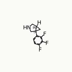 Fc1ccc([C@@]23CNC[C@@H]2C3)c(F)c1F